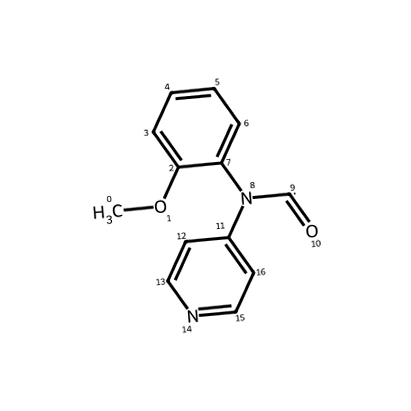 COc1ccccc1N([C]=O)c1ccncc1